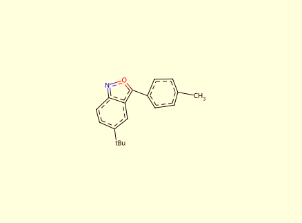 Cc1ccc(-c2onc3ccc(C(C)(C)C)cc23)cc1